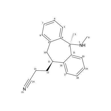 CN[C@]1(C)c2ccccc2C[C@H](CCC#N)c2ccccc21